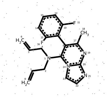 C=CCN(CC=C)c1c(-c2c(F)cccc2F)c(C)nc2nccn12